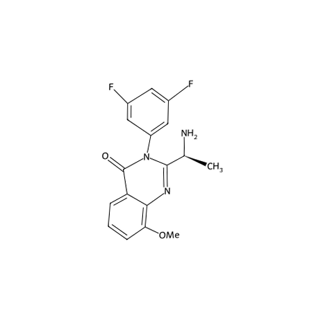 COc1cccc2c(=O)n(-c3cc(F)cc(F)c3)c([C@H](C)N)nc12